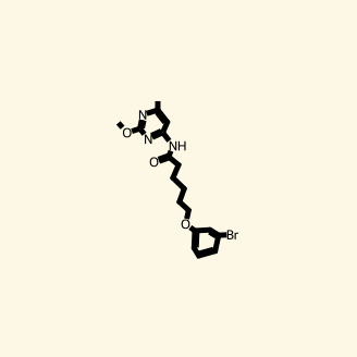 COc1nc(C)cc(NC(=O)CCCCCOc2cccc(Br)c2)n1